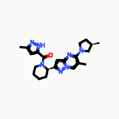 Cc1cc(C(=O)N2CCCC[C@H]2c2cc3nc(N4CC[C@H](C)C4)c(C)cn3n2)[nH]n1